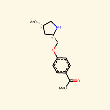 COC(=O)c1ccc(OC[C@@H]2C[C@H](OC(C)=O)CN2)cc1